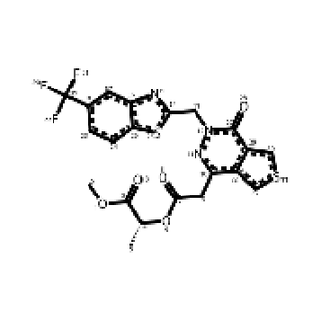 COC(=O)[C@@H](C)OC(=O)Cc1nn(Cc2nc3cc(C(F)(F)F)ccc3s2)c(=O)c2cscc12